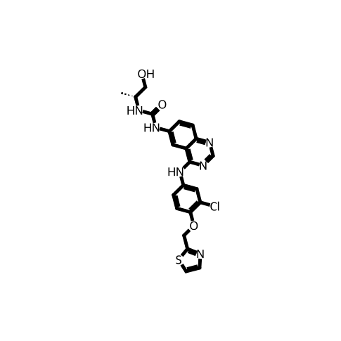 C[C@H](CO)NC(=O)Nc1ccc2ncnc(Nc3ccc(OCc4nccs4)c(Cl)c3)c2c1